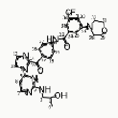 CC(O)CNc1nccc(-n2ccnc2C(=O)c2ccc(NC(=O)c3cc(N4CCOCC4)cc(C(F)(F)F)c3)cc2)n1